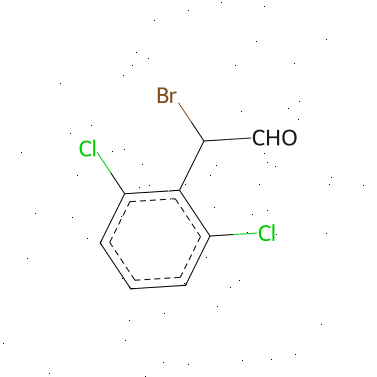 O=CC(Br)c1c(Cl)cccc1Cl